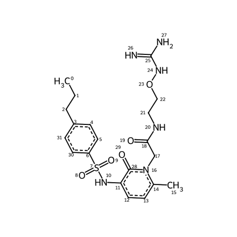 CCCc1ccc(S(=O)(=O)Nc2ccc(C)n(CC(=O)NCCONC(=N)N)c2=O)cc1